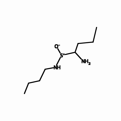 CCCCN[S+]([O-])C(N)CCC